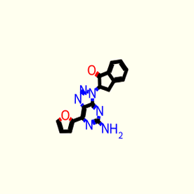 Nc1nc(-c2ccco2)c2nnn(C3Cc4ccccc4C3=O)c2n1